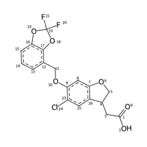 O=C(O)CC1COc2cc(OCc3cccc4c3OC(F)(F)O4)c(Cl)cc21